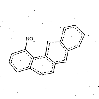 O=[N+]([O-])c1cccc2ccc3cc4ccccc4cc3c12